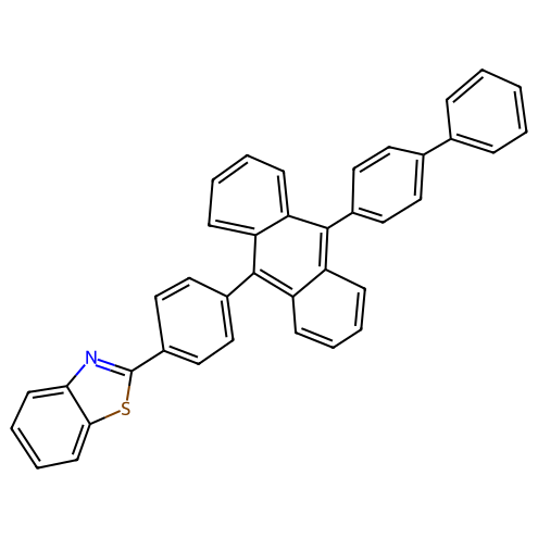 c1ccc(-c2ccc(-c3c4ccccc4c(-c4ccc(-c5nc6ccccc6s5)cc4)c4ccccc34)cc2)cc1